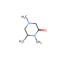 CC1CN(C)CC(=O)N1C